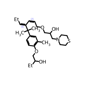 CC/C=C(\C=C/COCC(O)CN1CCSCC1)C(C)(C)c1ccc(OCC(O)CC)c(C)c1